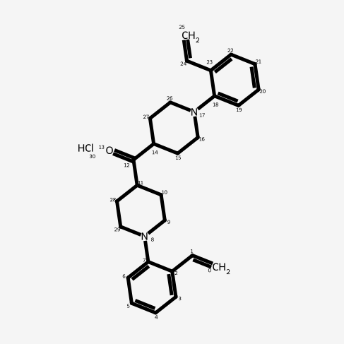 C=Cc1ccccc1N1CCC(C(=O)C2CCN(c3ccccc3C=C)CC2)CC1.Cl